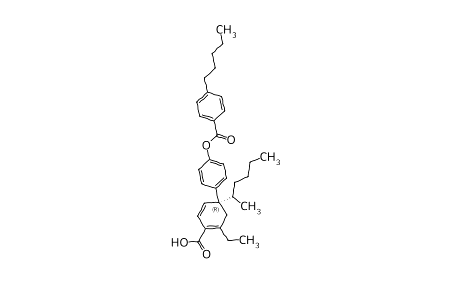 CCCCCc1ccc(C(=O)Oc2ccc([C@]3(C(C)CCCC)C=CC(C(=O)O)=C(CC)C3)cc2)cc1